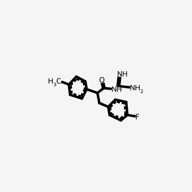 Cc1ccc(C(Cc2ccc(F)cc2)C(=O)NC(=N)N)cc1